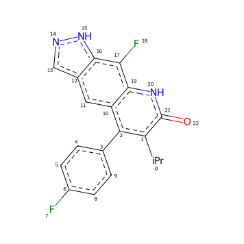 CC(C)c1c(-c2ccc(F)cc2)c2cc3cn[nH]c3c(F)c2[nH]c1=O